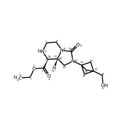 CCOC(=O)[C@H]1NCCN2C(=O)N(C34CC(CO)(C3)C4)C[C@H]12